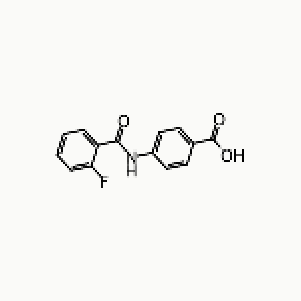 O=C(O)c1ccc(NC(=O)c2ccccc2F)cc1